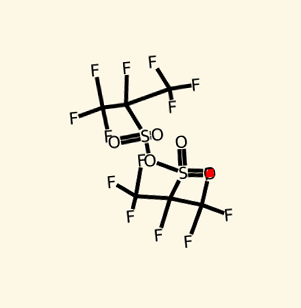 O=S(=O)(OS(=O)(=O)C(F)(C(F)(F)F)C(F)(F)F)C(F)(C(F)(F)F)C(F)(F)F